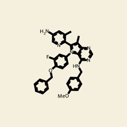 COc1ccc(CNc2ncnc3c(C)c(-c4ncc(N)cc4C)n(-c4ccc(OCc5ccccc5)c(F)c4)c23)cc1